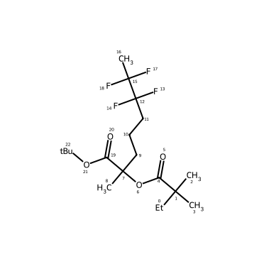 CCC(C)(C)C(=O)OC(C)(CCCC(F)(F)C(C)(F)F)C(=O)OC(C)(C)C